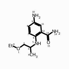 CCOCC(C)Nc1ccc(N)cc1C(N)=O